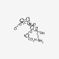 CC1(C)C(c2cccc(OCCCCl)c2)=CC=C[C@@H]1COc1cc(OCc2cncc(C(=O)O)c2)c(CNC(CO)CCCCN)cc1Cl